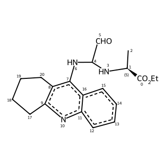 CCOC(=O)[C@H](C)NC(C=O)Nc1c2c(nc3ccccc13)CCCC2